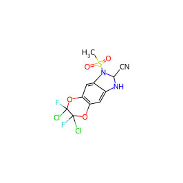 CS(=O)(=O)N1c2cc3c(cc2NC1C#N)OC(F)(Cl)C(F)(Cl)O3